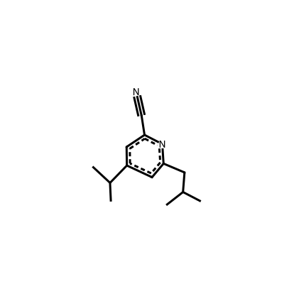 CC(C)Cc1cc(C(C)C)cc(C#N)n1